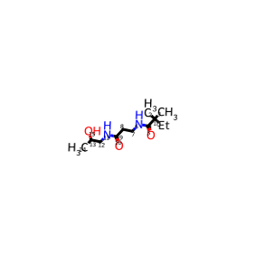 CCC(C)(C)C(=O)NCCC(=O)NCC(C)O